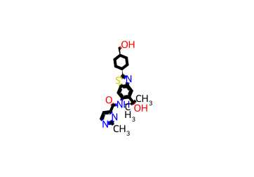 Cc1nccc(C(=O)Nc2cc3sc([C@H]4CC[C@H](CO)CC4)nc3cc2C(C)(C)O)n1